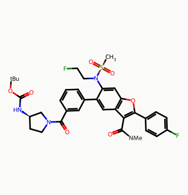 CNC(=O)c1c(-c2ccc(F)cc2)oc2cc(N(CCF)S(C)(=O)=O)c(-c3cccc(C(=O)N4CC[C@@H](NC(=O)OC(C)(C)C)C4)c3)cc12